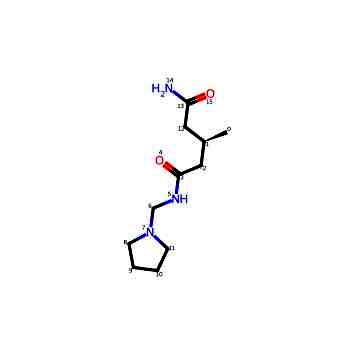 C[C@@H]([CH]C(=O)NCN1CCCC1)CC(N)=O